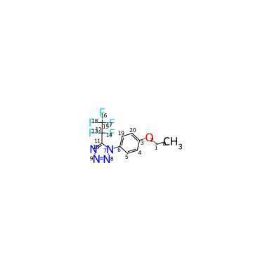 CCOc1ccc(-n2nnnc2C(F)(F)C(F)(F)F)cc1